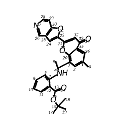 Cc1cc(C(C)Nc2ccccc2C(=O)OC(C)(C)C)c2oc(-c3cc4cnccc4o3)cc(=O)c2c1